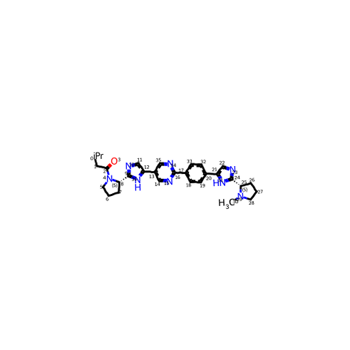 CC(C)CC(=O)N1CCC[C@H]1c1ncc(-c2cnc(-c3ccc(-c4cnc([C@@H]5CCCN5C)[nH]4)cc3)nc2)[nH]1